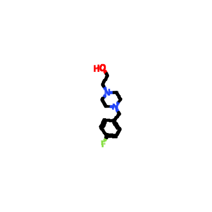 OCCN1CCN(Cc2ccc(F)cc2)CC1